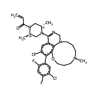 C=CC(=O)N1C[C@H](C)N(C2=NCN3CCCN(C)CCCOc4c(-c5cc(Cl)c(F)cc5F)c(Cl)cc2c43)C[C@H]1C